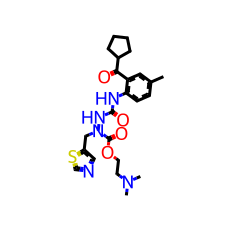 Cc1ccc(NC(=O)NN(Cc2cncs2)C(=O)OCCN(C)C)c(C(=O)C2CCCC2)c1